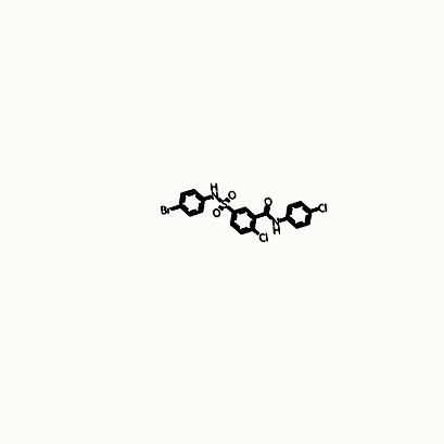 O=C(Nc1ccc(Cl)cc1)c1cc(S(=O)(=O)Nc2ccc(Br)cc2)ccc1Cl